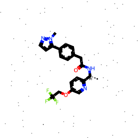 C[C@@H](NC(=O)Cc1ccc(-c2ccnn2C)cc1)c1ccc(OCC(F)(F)F)cn1